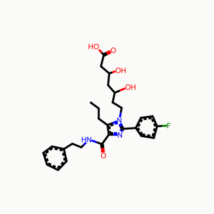 CCCc1c(C(=O)NCCc2ccccc2)nc(-c2ccc(F)cc2)n1CCC(O)CC(O)CC(=O)O